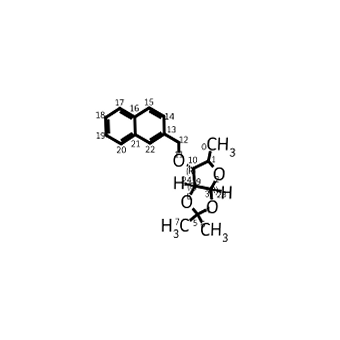 CC1O[C@@H]2OC(C)(C)O[C@@H]2[C@@H]1OCc1ccc2ccccc2c1